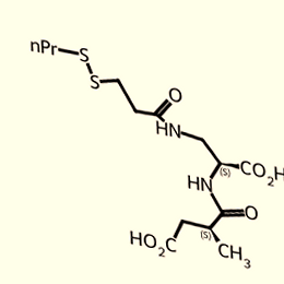 CCCSSCCC(=O)NC[C@H](NC(=O)[C@@H](C)CC(=O)O)C(=O)O